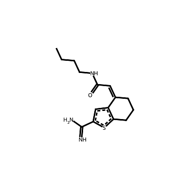 CCCCNC(=O)/C=C1/CCCc2sc(C(=N)N)cc21